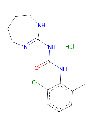 Cc1cccc(Cl)c1NC(=O)NC1=NCCCCN1.Cl